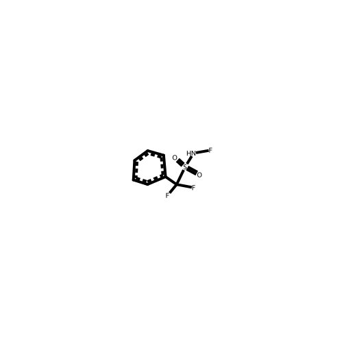 O=S(=O)(NF)C(F)(F)c1ccccc1